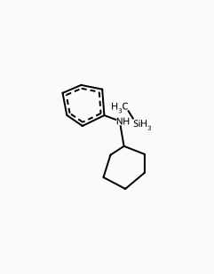 C[SiH3].c1ccc(NC2CCCCC2)cc1